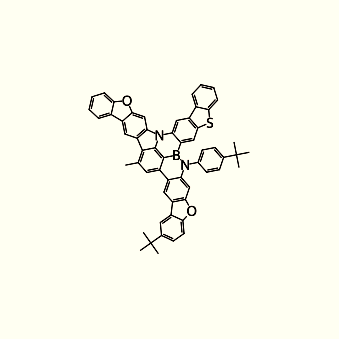 Cc1cc2c3c4c1c1cc5c(cc1n4-c1cc4c(cc1B3N(c1ccc(C(C)(C)C)cc1)c1cc3oc6ccc(C(C)(C)C)cc6c3cc1-2)sc1ccccc14)oc1ccccc15